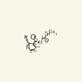 CCOC(=O)COC(=O)c1cccnc1C#N